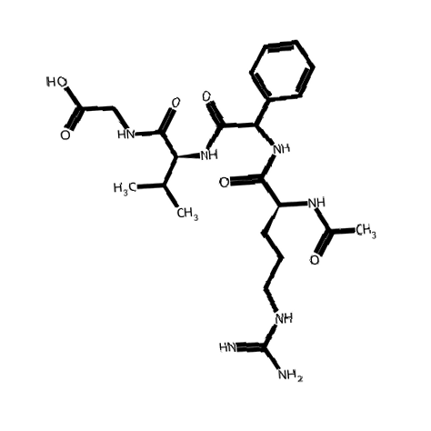 CC(=O)N[C@@H](CCCNC(=N)N)C(=O)NC(C(=O)N[C@H](C(=O)NCC(=O)O)C(C)C)c1ccccc1